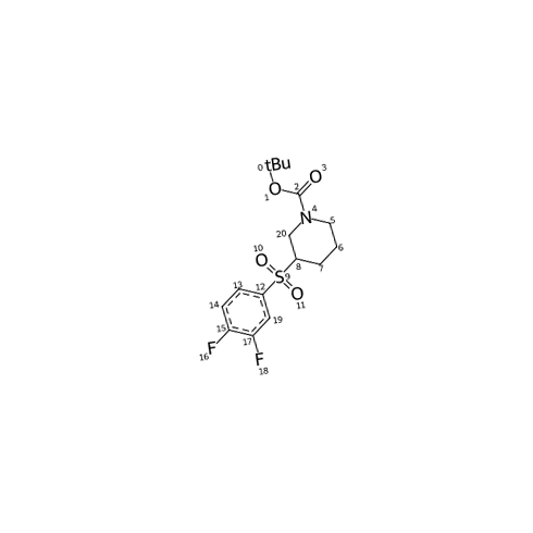 CC(C)(C)OC(=O)N1CCCC(S(=O)(=O)c2ccc(F)c(F)c2)C1